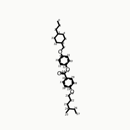 CCCC1CCC(COc2ccc(OC(=O)c3ccc(OCCCC(C)CC)cc3)cc2)CC1